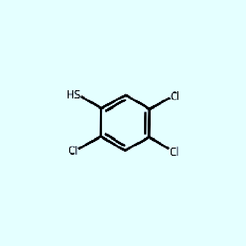 Sc1cc(Cl)c(Cl)cc1Cl